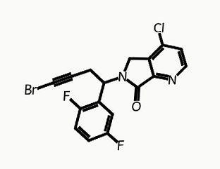 O=C1c2nccc(Cl)c2CN1C(CC#CBr)c1cc(F)ccc1F